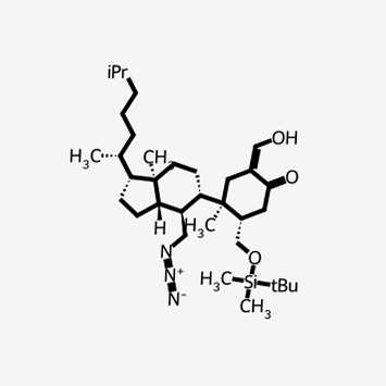 CC(C)CCC[C@@H](C)[C@H]1CC[C@H]2[C@H](CN=[N+]=[N-])[C@@H]([C@@]3(C)C/C(=C/O)C(=O)C[C@@H]3CO[Si](C)(C)C(C)(C)C)CC[C@]12C